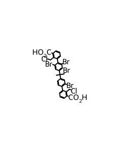 CC(CBr)(c1ccc(-c2cccc(C(=O)O)c2CCl)c(Br)c1)c1cc(Br)c(-c2cccc(C(=O)O)c2CCl)c(Br)c1